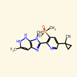 CC[SH](C)(=O)c1cc(C2(C#N)CC2)cnc1-c1nc2c(n1C)NNC(C(F)(F)F)=C2